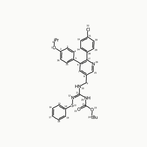 CC(C)Oc1ccc(-c2cc(CN/C(=N/Sc3ccccc3)NC(=O)OC(C)(C)C)cnc2-c2ccc(Cl)cc2)cc1